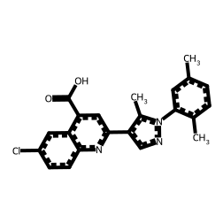 Cc1ccc(C)c(-n2ncc(-c3cc(C(=O)O)c4cc(Cl)ccc4n3)c2C)c1